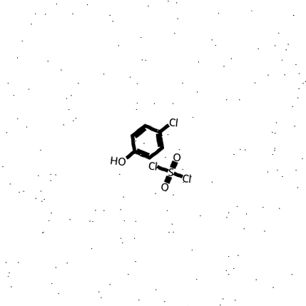 O=S(=O)(Cl)Cl.Oc1ccc(Cl)cc1